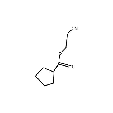 N#CCCOC(=O)C1CCCC1